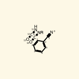 N#Cc1ccccc1.N=C=O.N=C=O